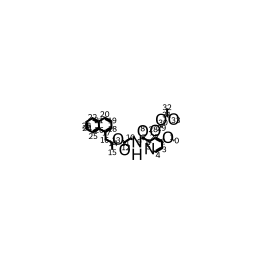 COc1ccnc(C(=O)NCC(=O)OC(C)Cc2cccc3ccccc23)c1OCOC(C)=O